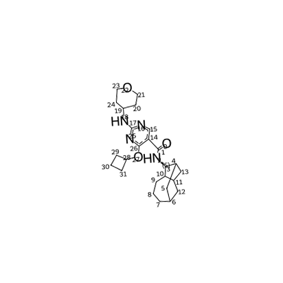 O=C(N[C@H]1C2CC3CCCC1C(C3)C2)c1cnc(NC2CCOCC2)nc1OC1CCC1